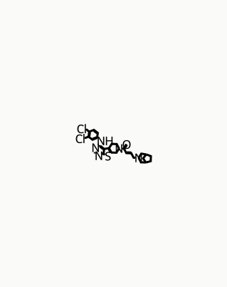 O=C(/C=C/CN1CC2CCC(C2)C1)N1CCc2c(sc3ncnc(Nc4ccc(Cl)c(Cl)c4)c23)C1